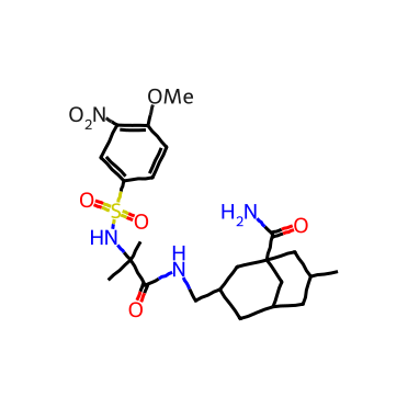 COc1ccc(S(=O)(=O)NC(C)(C)C(=O)NCC2CC3CC(C)CC(C(N)=O)(C2)C3)cc1[N+](=O)[O-]